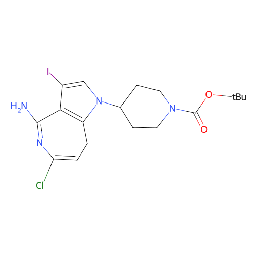 CC(C)(C)OC(=O)N1CCC(n2cc(I)c3c2CC=C(Cl)N=C3N)CC1